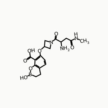 CNC(=O)CC(N)C(=O)N1CC(Oc2ccc3c(c2C(=O)O)OB(O)CC3)C1